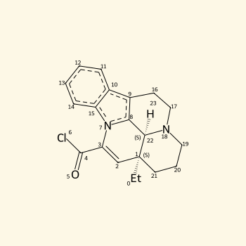 CC[C@@]12C=C(C(=O)Cl)n3c4c(c5ccccc53)CCN(CCC1)[C@H]42